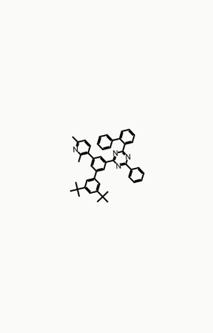 Cc1ccc(-c2cc(-c3cc(C(C)(C)C)cc(C(C)(C)C)c3)cc(-c3nc(-c4ccccc4)nc(-c4ccccc4-c4ccccc4)n3)c2)c(C)n1